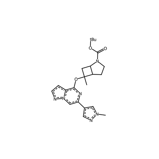 Cn1cc(-c2cn3nccc3c(OC3(C)CC4C3CCN4C(=O)OC(C)(C)C)n2)cn1